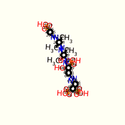 COc1cc(N=Nc2cc(C)c(N=Nc3ccc(S(=O)(=O)O)cc3)cc2C)c(C)cc1N=Nc1c(S(=O)(=O)O)cc2cc(-n3nc4ccc5c(S(=O)(=O)O)cc(S(=O)(=O)O)cc5c4n3)ccc2c1O